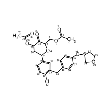 CC(=O)OC[C@H]1O[C@@H](c2ccc(Cl)c(Cc3ccc(O[C@H]4CCOC4)cc3)c2)CC(OC(C)=O)C1=O